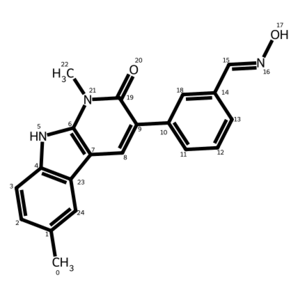 Cc1ccc2[nH]c3c(cc(-c4cccc(C=NO)c4)c(=O)n3C)c2c1